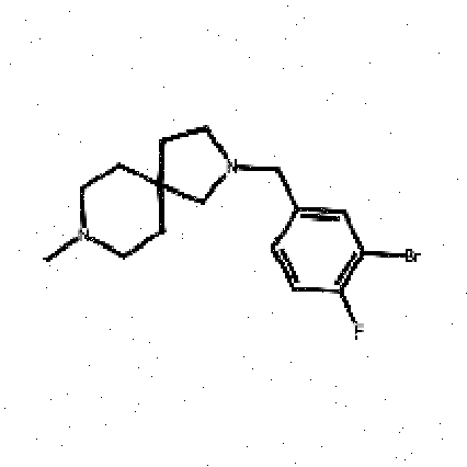 CN1CCC2(CC1)CCN(Cc1ccc(F)c(Br)c1)C2